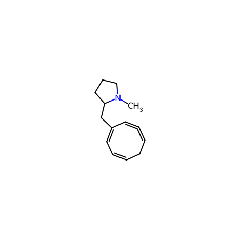 CN1CCCC1C/C1=C/C=C\CC=C=C1